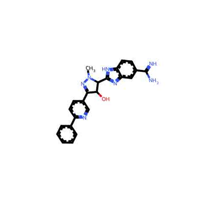 CN1N=C(c2ccc(-c3ccccc3)nc2)C(O)C1c1nc2cc(C(=N)N)ccc2[nH]1